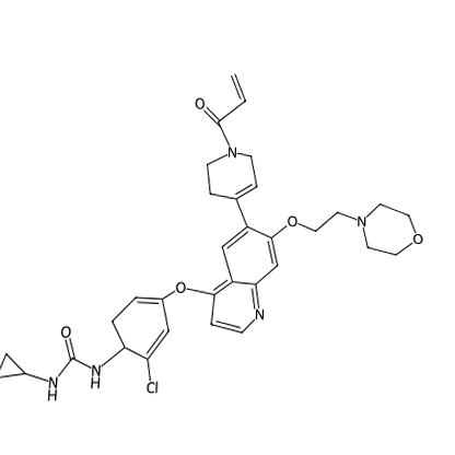 C=CC(=O)N1CC=C(c2cc3c(OC4=CCC(NC(=O)NC5CC5)C(Cl)=C4)ccnc3cc2OCCN2CCOCC2)CC1